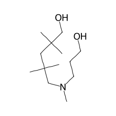 CN(CCCO)CC(C)(C)CC(C)(C)CO